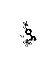 O=S(=O)([O-])Nc1sccc1-c1ccc(OC(F)(F)F)cc1.[Na+]